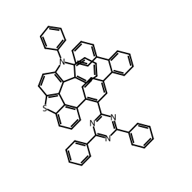 c1ccc(-c2nc(-c3ccccc3)nc(-c3cc(-c4ccccc4-c4ccccc4)ccc3-c3cccc4sc5ccc6c(c7ccccc7n6-c6ccccc6)c5c34)n2)cc1